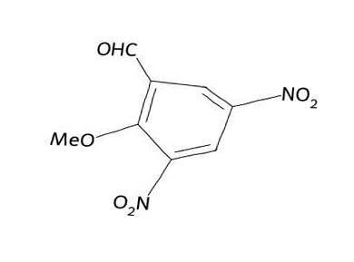 COc1c(C=O)cc([N+](=O)[O-])cc1[N+](=O)[O-]